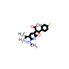 C=C(C)c1cc2c(C(C)=O)c(-c3ccc(F)cc3)oc2nc1NC